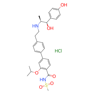 CC(C)Oc1cc(-c2ccc(CCN[C@@H](C)[C@H](O)c3ccc(O)cc3)cc2)ccc1C(=O)NS(C)(=O)=O.Cl